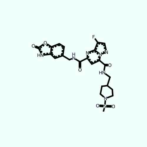 CS(=O)(=O)N1CCC(CNC(=O)c2cc(C(=O)NCc3ccc4oc(=O)[nH]c4c3)nc3c(F)cnn23)CC1